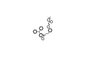 CC(C)(C)OC(=O)/C=C/Oc1cccc(CCCn2cc(C(c3ccccc3)c3ccccc3)ccc2=O)c1